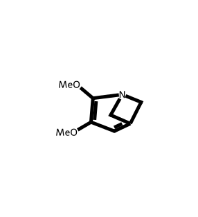 COC1=C(OC)N2CC(=C1)C2